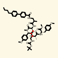 CCCCc1ccc(-c2ccc(C(=O)NCC(C)C(=O)N[C@@H](CCCCNC(=O)OC(C)(C)C)C(=O)N(C)[C@H](C(=O)N[C@@H](C)C(=O)N[C@@H](Cc3ccc(OC)cc3)C(=O)OC)c3ccc(OC)cc3)cc2)cc1